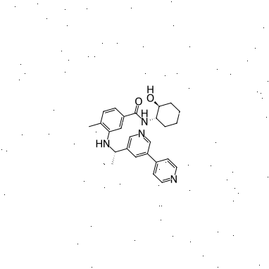 Cc1ccc(C(=O)N[C@H]2CCCC[C@@H]2O)cc1N[C@@H](C)c1cncc(-c2ccncc2)c1